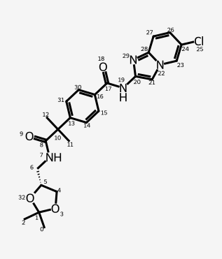 CC1(C)OC[C@@H](CNC(=O)C(C)(C)c2ccc(C(=O)Nc3cn4cc(Cl)ccc4n3)cc2)O1